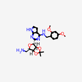 COc1ccc(CNc2nc([C@H]3O[C@H](CN)[C@H]4OC(C)(C)O[C@@H]43)nc3[nH]ccc23)c(OC)c1